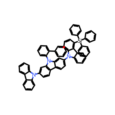 c1ccc(-c2ccccc2-n2c3cc(-n4c5ccccc5c5ccccc54)ccc3c3ccc(-n4c5ccccc5c5c([Si](c6ccccc6)(c6ccccc6)c6ccccc6)cccc54)cc32)cc1